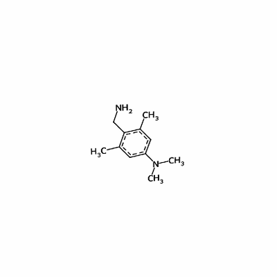 Cc1cc(N(C)C)cc(C)c1CN